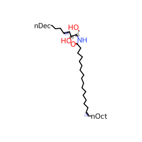 CCCCCCCC/C=C\CCCCCCCCCCCCCCCC(=O)N[C@@H](CO)[C@H](O)/C=C/CCCCCCCCCCCCC